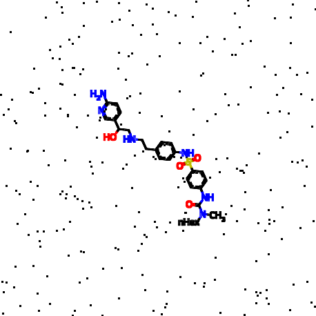 CCCCCCN(C)C(=O)Nc1ccc(S(=O)(=O)Nc2ccc(CCNCC(O)c3ccc(N)nc3)cc2)cc1